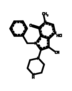 Cl.Cn1cnc2c(C#N)c(N3CCNCC3)n(Cc3ccccc3)c2c1=O